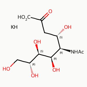 CC(=O)N[C@@H]([C@@H](O)[C@H](O)[C@H](O)CO)[C@@H](O)CC(=O)C(=O)O.[KH]